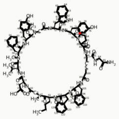 CCCC[C@H]1C(=O)N(C)CC(=O)N[C@@H](CC(=O)O)C(=O)N[C@@H](C(C)C)C(=O)N(C)[C@@H](Cc2ccccc2)C(=O)N[C@@H](Cc2ccc(O)cc2)C(=O)N(C)CC(=O)N[C@@H](Cc2c[nH]c3ccccc23)C(=O)N[C@@H](Cc2ccc(O)cc2)C(=O)N2CCC[C@@H]2C(=O)N[C@H](C(=O)NCC(N)=O)CSCC(=O)N[C@@H](Cc2ccccc2)C(=O)N(C)C(Cc2ccccc2)C(=O)N1C